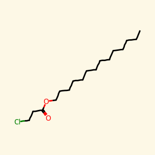 CCCCCCCCCCCCCCOC(=O)CCCl